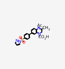 CC(=O)N1c2ccc(-c3ccc(S(=O)(=O)n4cccn4)cc3)cc2N(C(=O)O)C[C@@H]1C